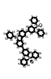 O=P(c1ccccc1)(c1ccccc1)c1ccc(-c2ccc3c(c2)c2cc(-c4ccc(P(=O)(c5ccccc5)c5ccccc5)cc4)ccc2n3-c2ccccc2)cc1